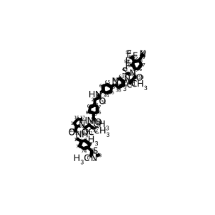 Cc1ncsc1-c1ccc(CNC(=O)C2CCCN2C(=O)C(NC(=O)c2ccc(CC(=O)Nc3ccc(-c4ccc(N5C(=S)N(c6ccc(C#N)c(C(F)(F)F)c6F)C(=O)C5(C)C)cn4)cc3)cc2)C(C)(C)C)cc1